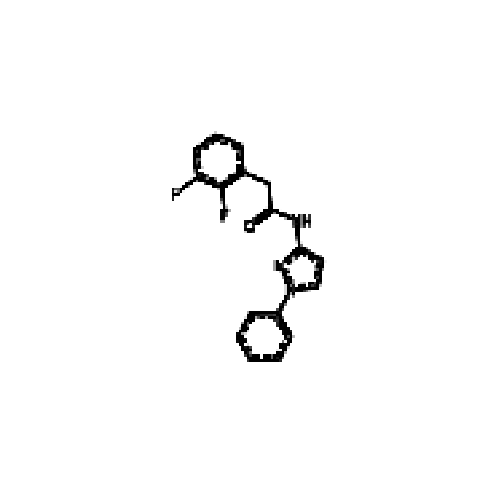 O=C(Cc1cccc(F)c1F)Nc1ccn(-c2ccccc2)n1